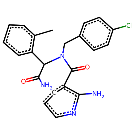 Cc1ccccc1C(C(N)=O)N(Cc1ccc(Cl)cc1)C(=O)c1cccnc1N